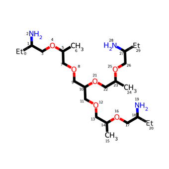 CCC(N)COC(C)COCC(COCC(C)OCC(N)CC)OCC(C)OCC(N)CC